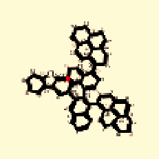 c1ccc2c(-c3ccc4ccc5cccc6ccc3c4c56)c(-c3ccc(-c4ccc5ccc6cccc7ccc4c5c67)c4ccccc34)c(-c3ccc4oc5ccccc5c4c3)cc2c1